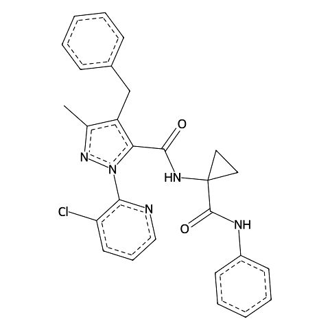 Cc1nn(-c2ncccc2Cl)c(C(=O)NC2(C(=O)Nc3ccccc3)CC2)c1Cc1ccccc1